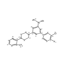 CCN(c1nc(-c2ccc(F)c(Cl)c2)nc(N2CCN(c3ncccc3C(F)(F)F)CC2)n1)C(C)C